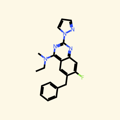 CCN(C)c1nc(-n2cccn2)nc2cc(F)c(Cc3ccccc3)cc12